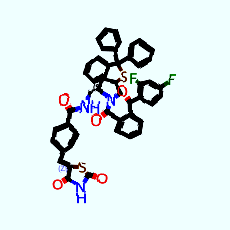 O=C1NC(=O)/C(=C/c2ccc(C(=O)NC[C@@H]3CC(SC(c4ccccc4)(c4ccccc4)c4ccccc4)CN3C(=O)c3ccccc3C(=O)c3ccc(F)cc3F)cc2)S1